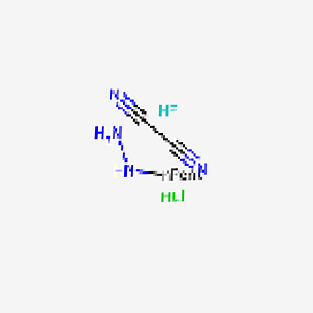 CCCCCNN.Cl.F.N#CC#N